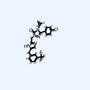 O=c1n(Cc2ncc(Cc3cccc(C(F)(F)F)c3)[nH]2)nc(-c2ccc(Cl)cc2)n1C1CC1